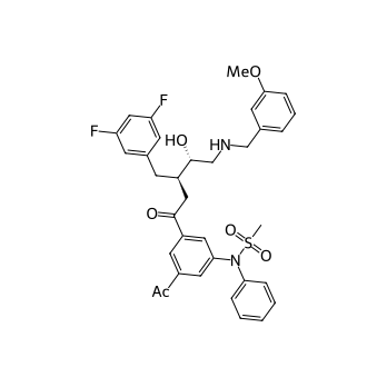 COc1cccc(CNC[C@@H](O)[C@@H](CC(=O)c2cc(C(C)=O)cc(N(c3ccccc3)S(C)(=O)=O)c2)Cc2cc(F)cc(F)c2)c1